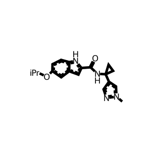 CC(C)Oc1ccc2[nH]c(C(=O)NC3(c4cnn(C)c4)CC3)cc2c1